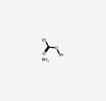 B.CCC(=O)OC(C)C